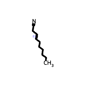 CCCCCC/C=C/CC#N